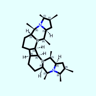 C[C@@H]1C[C@@H]2[C@H](C)B3[C@@H]4[C@@H]5B6[C@@H](CCC5[C@@H]4CC[C@@H]3[C@H](C)N2[C@@H]1C)[C@@H](C)N1[C@@H](C)[C@@H](C)C[C@H]1[C@H]6C